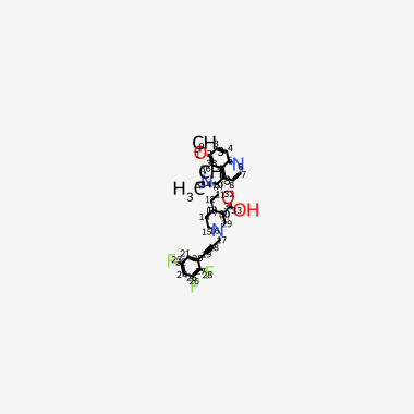 COc1ccc2nccc([C@H](CC[C@@H]3CCN(CC#Cc4cc(F)cc(F)c4F)C[C@@H]3C(=O)O)N(C)C)c2c1